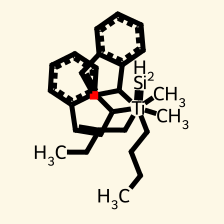 CCC[CH2][Ti]([CH3])([CH3])(=[SiH2])([CH2]CCC)([CH]1C=Cc2ccccc21)[CH]1C=Cc2ccccc21